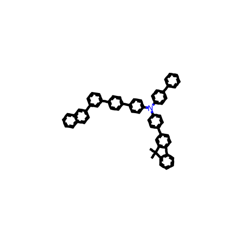 CC1(C)c2ccccc2-c2ccc(-c3ccc(N(c4ccc(-c5ccccc5)cc4)c4ccc(-c5ccc(-c6cccc(-c7ccc8ccccc8c7)c6)cc5)cc4)cc3)cc21